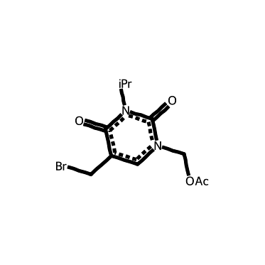 CC(=O)OCn1cc(CBr)c(=O)n(C(C)C)c1=O